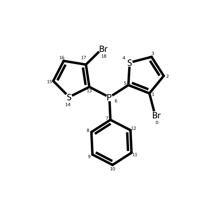 Brc1ccsc1P(c1ccccc1)c1sccc1Br